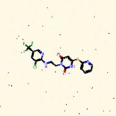 O=c1cc(Sc2ccccn2)[nH]c(=O)n1CCNc1ncc(C(F)(F)F)cc1Cl